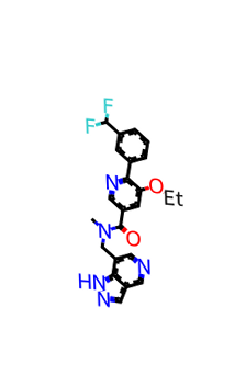 CCOc1cc(C(=O)N(C)Cc2cncc3cn[nH]c23)cnc1-c1cccc(C(F)F)c1